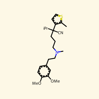 COc1ccc(CCN(C)CCCC(C#N)(c2ccsc2C)C(C)C)cc1OC